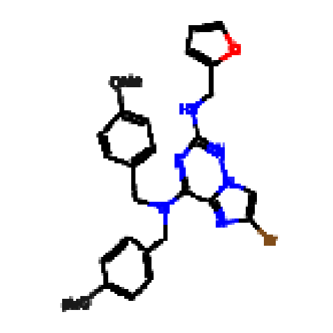 COc1ccc(CN(Cc2ccc(OC)cc2)c2nc(NCc3ccco3)nn3cc(Br)nc23)cc1